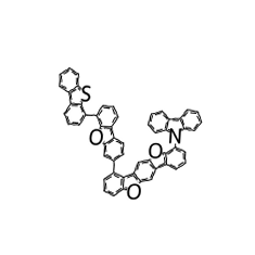 c1cc(-c2ccc3c(c2)oc2c(-c4cccc5c4sc4ccccc45)cccc23)c2c(c1)oc1cc3c(cc12)oc1c(-n2c4ccccc4c4ccccc42)cccc13